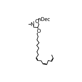 C/C=C\C/C=C\C/C=C\CCCCCCCCOC(COCCCCCCCCCC)CN(C)C